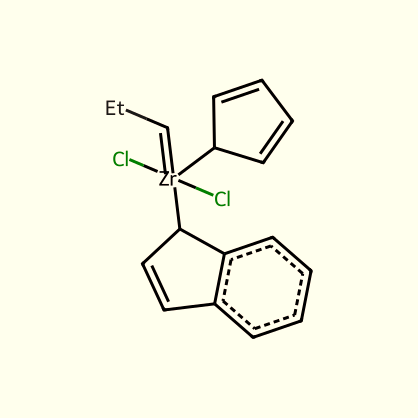 CC[CH]=[Zr]([Cl])([Cl])([CH]1C=CC=C1)[CH]1C=Cc2ccccc21